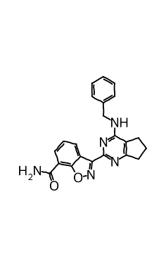 NC(=O)c1cccc2c(-c3nc4c(c(NCc5ccccc5)n3)CCC4)noc12